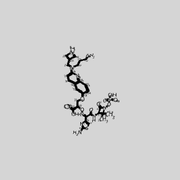 CC1(C)C(NC(=O)/C(=N\OC(COc2ccc3nc(N(CCCN)CC4CNC4)ccc3c2)C(=O)O)c2csc(N)n2)C(=O)N1OS(=O)(=O)O